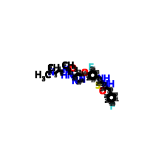 CN(C)CCCN(C)C(=O)Nc1cc(Oc2ccc(NC(=S)NC(=O)Cc3ccc(F)cc3)cc2F)ncn1